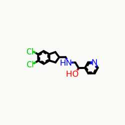 OC(CNCC1Cc2cc(Cl)c(Cl)cc2C1)c1cccnc1